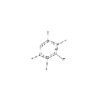 Cc1cc(C)c(C)c(F)c1C